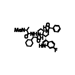 CN[C@@H](C)C(=O)N[C@H](C(=O)N1CC[C@@H]2[C@H]1[C@@H](c1c[nH]c3cc(F)ccc13)CN2C(=O)c1ccccc1)C1CCCCC1